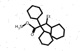 CCC(C1CCCCC1)C(C(=O)O[SiH3])(C1CCCCC1)C1CCCCC1